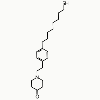 O=C1CCN(CCc2ccc(CCCCCCCCS)cc2)CC1